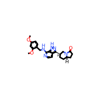 COc1ccc(CNc2nccc3c([C@@H]4CC[C@H]5CCC(=O)N5C4)n[nH]c23)c(OC)c1